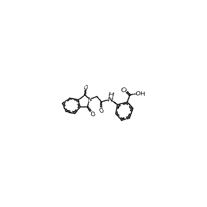 O=C(CN1C(=O)c2ccccc2C1=O)Nc1ccccc1C(=O)O